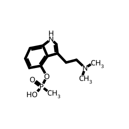 CN(C)CCc1c[nH]c2cccc(OP(C)(=O)O)c12